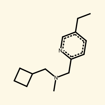 CCc1ccc(CN(C)CC2CCC2)nc1